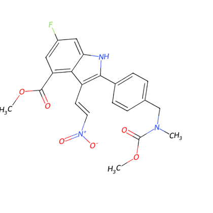 COC(=O)c1cc(F)cc2[nH]c(-c3ccc(CN(C)C(=O)OC)cc3)c(C=C[N+](=O)[O-])c12